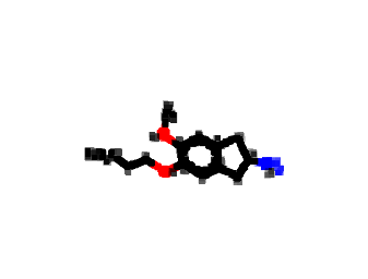 CCOC(=O)CCOc1cc2c(cc1OCC)CC(N)C2